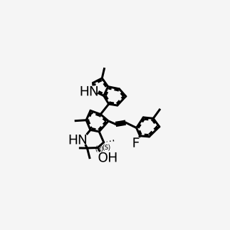 Cc1ccc(F)c(C#Cc2c(-c3cccc4c(C)c[nH]c34)cc(C)c3c2[C@H](C)[C@@H](O)C(C)(C)N3)c1